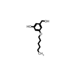 CCCCCCOc1cc(O)cc(CO)c1